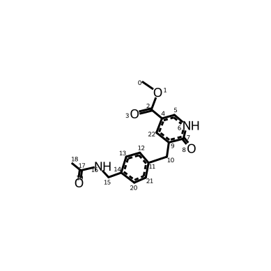 COC(=O)c1c[nH]c(=O)c(Cc2ccc(CNC(C)=O)cc2)c1